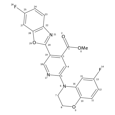 COC(=O)c1cc(N2CCOc3ccc(F)cc32)ncc1-c1nc2ccc(F)cc2o1